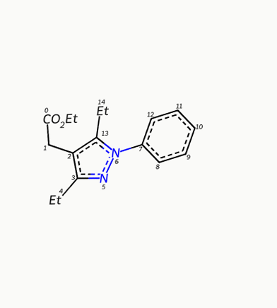 CCOC(=O)Cc1c(CC)nn(-c2ccccc2)c1CC